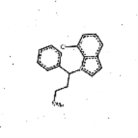 CNCCC(c1ccccc1)n1ccc2cccc(Cl)c21